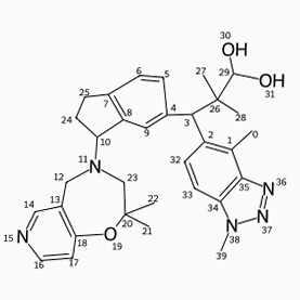 Cc1c(C(c2ccc3c(c2)C(N2Cc4cnccc4OC(C)(C)C2)CC3)C(C)(C)C(O)O)ccc2c1nnn2C